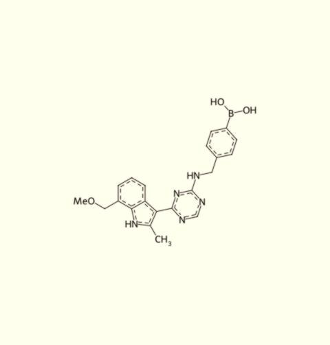 COCc1cccc2c(-c3ncnc(NCc4ccc(B(O)O)cc4)n3)c(C)[nH]c12